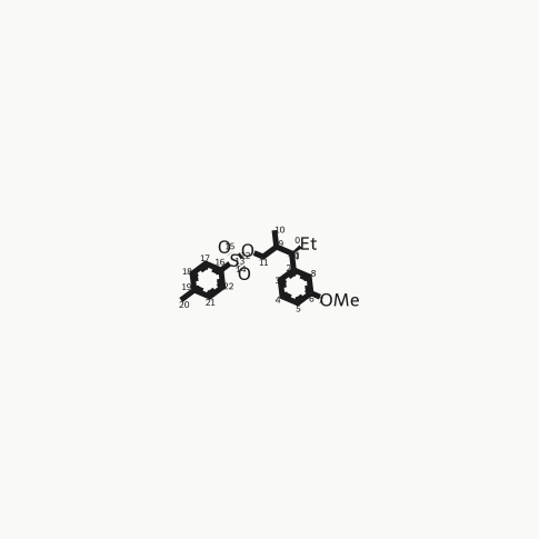 CC[C@@H](c1cccc(OC)c1)C(C)COS(=O)(=O)c1ccc(C)cc1